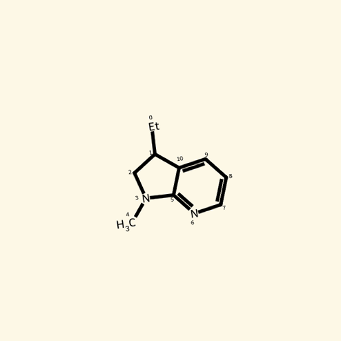 CCC1CN(C)c2ncccc21